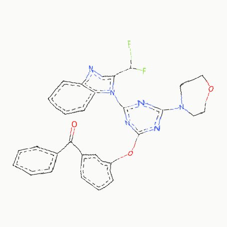 O=C(c1ccccc1)c1cccc(Oc2nc(N3CCOCC3)nc(-n3c(C(F)F)nc4ccccc43)n2)c1